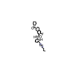 CCC/C=N/N=C/C1=CC=CC(NC(=O)c2cc3c(cc2F)CCN(C(=O)N2CCCC2)C3)N1